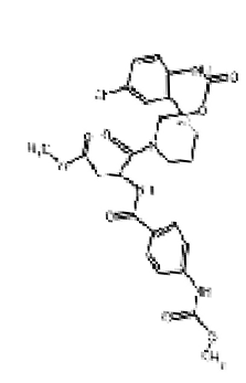 COC(=O)CC(NC(=O)c1ccc(NC(=O)OC)cc1)C(=O)N1CCC[C@@]2(C1)OC(=O)Nc1ccc(Cl)cc12